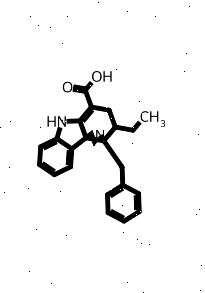 CCC1CC(C(=O)O)=C2Nc3ccccc3C23CCN(Cc2ccccc2)C13